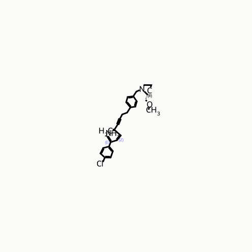 C=C(C#CCCc1ccc(CN2CCC[C@@H]2COC)cc1)/C=C\C(=C/N)c1ccc(Cl)cc1